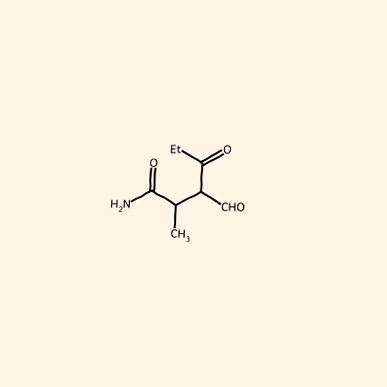 CCC(=O)C(C=O)C(C)C(N)=O